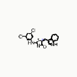 O=C1N=C(Nc2cc(Cl)cc(Cl)c2)S/C1=C/c1c[nH]c2ccccc12